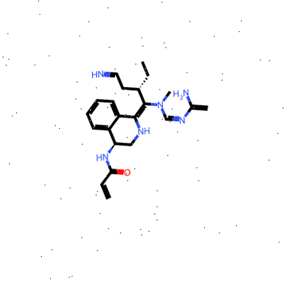 C=CC(=O)N[C@@H]1CN/C(=C(/[C@@H](CC)CC=N)N(C)/C=N\C(=C)N)c2ccccc21